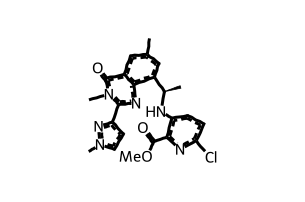 COC(=O)c1nc(Cl)ccc1N[C@H](C)c1cc(C)cc2c(=O)n(C)c(-c3ccn(C)n3)nc12